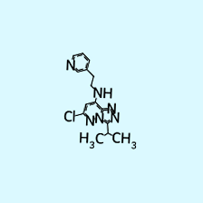 CC(C)c1nnc2c(NCCc3cccnc3)cc(Cl)nn12